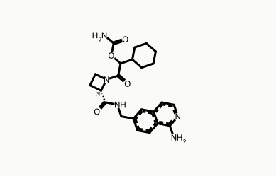 NC(=O)OC(C(=O)N1CC[C@H]1C(=O)NCc1ccc2c(N)nccc2c1)C1CCCCC1